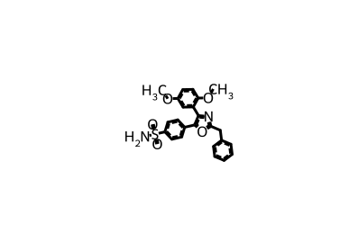 COc1ccc(OC)c(-c2nc(Cc3ccccc3)oc2-c2ccc(S(N)(=O)=O)cc2)c1